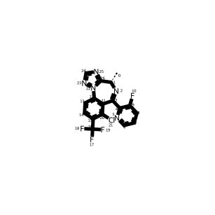 C[C@@H]1N=C(c2ncccc2F)c2c(ccc(C(F)(F)F)c2Cl)-n2ncnc21